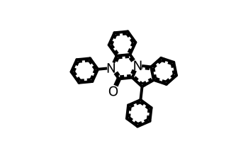 O=c1c2c(-c3ccccc3)c3ccccc3n2c2ccccc2n1-c1ccccc1